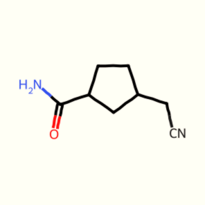 N#CCC1CCC(C(N)=O)C1